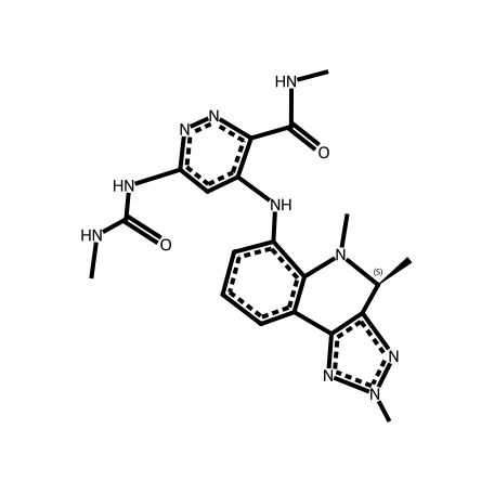 CNC(=O)Nc1cc(Nc2cccc3c2N(C)[C@@H](C)c2nn(C)nc2-3)c(C(=O)NC)nn1